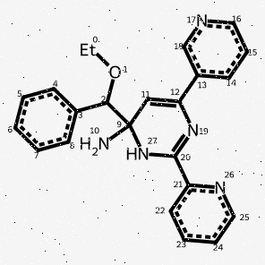 CCOC(c1ccccc1)C1(N)C=C(c2cccnc2)N=C(c2ccccn2)N1